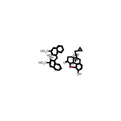 O=C(O)c1cc2ccccc2c(Cc2c(O)c(C(=O)O)cc3ccccc23)c1O.O=C1CC[C@@]2(O)[C@H]3Cc4ccc(O)c5c4[C@@]2(CCN3CC2CC2)[C@H]1O5